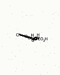 O=C(O)NC1CCC(C(=O)NCCOCCOCCCCCCCl)CC1